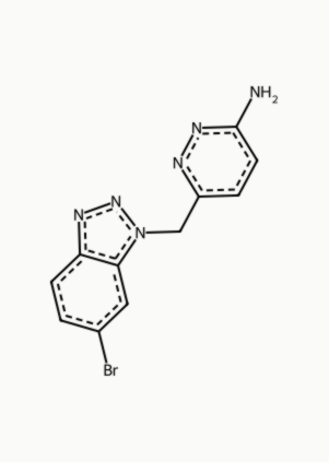 Nc1ccc(Cn2nnc3ccc(Br)cc32)nn1